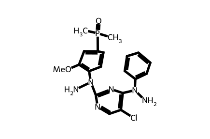 COc1cc(P(C)(C)=O)ccc1N(N)c1ncc(Cl)c(N(N)c2ccccc2)n1